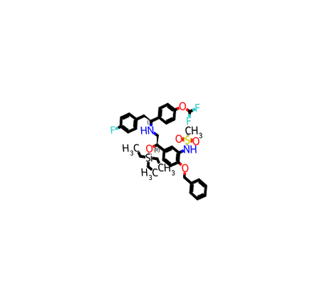 CC[Si](CC)(CC)O[C@@H](CN[C@@H](Cc1ccc(F)cc1)c1ccc(OC(F)F)cc1)c1ccc(OCc2ccccc2)c(NS(C)(=O)=O)c1